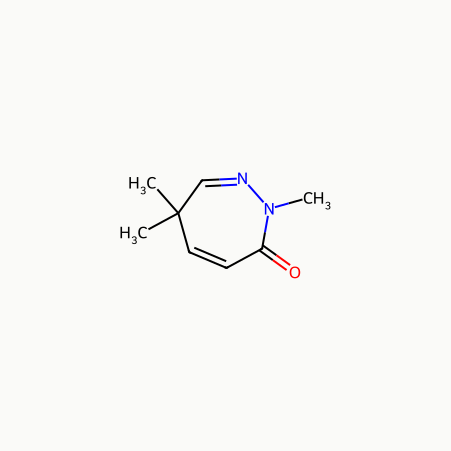 CN1N=CC(C)(C)C=CC1=O